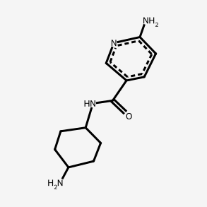 Nc1ccc(C(=O)NC2CCC(N)CC2)cn1